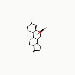 C[C@]12CC[C@H]3[C@@H](CCC4=CC(=O)CC[C@@]43CC#CI)[C@@H]1CCC2=O